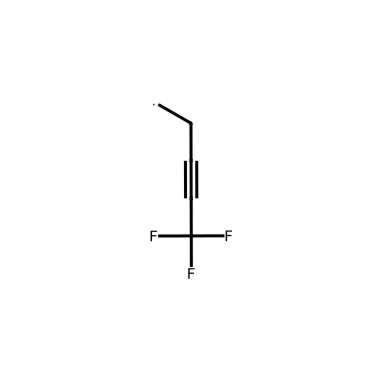 [CH2]CC#CC(F)(F)F